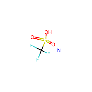 O=S(=O)(O)C(F)(F)F.[N]